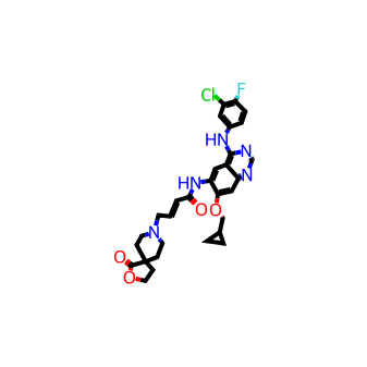 O=C(C=CCN1CCC2(CCOC2=O)CC1)Nc1cc2c(Nc3ccc(F)c(Cl)c3)ncnc2cc1OCC1CC1